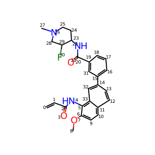 C=CC(=O)Nc1c(OC)ccc2ccc(-c3cccc(C(=O)NC4CCN(C)CC4F)c3)cc12